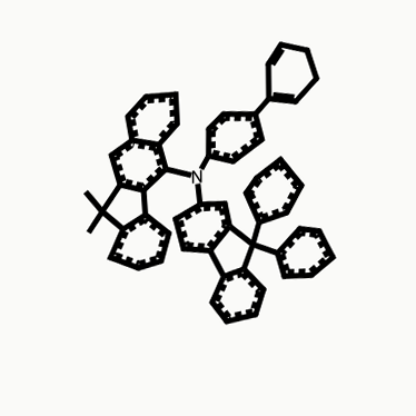 CC1(C)c2ccccc2-c2c1cc1ccccc1c2N(c1ccc(C2=CCCC=C2)cc1)c1ccc2c(c1)C(c1ccccc1)(c1ccccc1)c1ccccc1-2